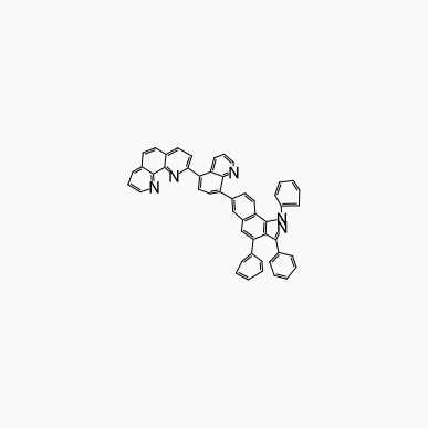 c1ccc(-c2cc3cc(-c4ccc(-c5ccc6ccc7cccnc7c6n5)c5cccnc45)ccc3c3c2c(-c2ccccc2)nn3-c2ccccc2)cc1